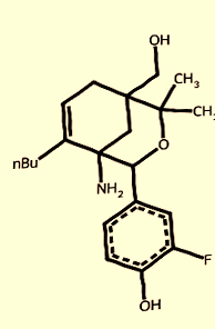 CCCCC1=CCC2(CO)CC1(N)C(c1ccc(O)c(F)c1)OC2(C)C